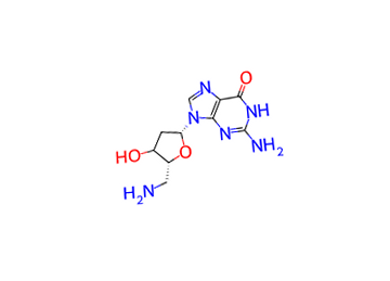 NC[C@H]1O[C@@H](n2cnc3c(=O)[nH]c(N)nc32)CC1O